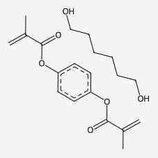 C=C(C)C(=O)Oc1ccc(OC(=O)C(=C)C)cc1.OCCCCCCO